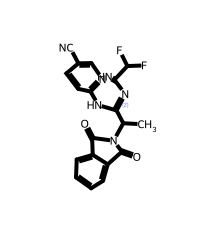 CC(/C(=N/C(=N)C(F)F)Nc1ccc(C#N)cn1)N1C(=O)c2ccccc2C1=O